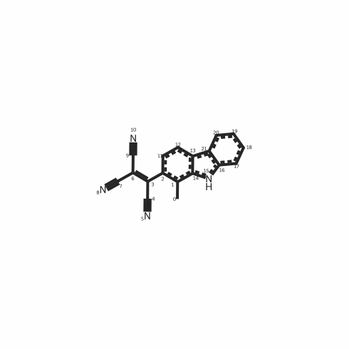 Cc1c(C(C#N)=C(C#N)C#N)ccc2c1[nH]c1ccccc12